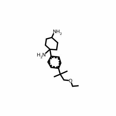 CCOCC(C)(C)c1ccc(C2(N)CCC(N)CC2)cc1